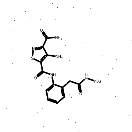 CCCCNC(=O)Cc1ccccc1NC(=O)c1snc(C(N)=O)c1N